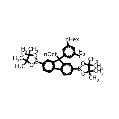 CCCCCCCCC1(c2cc(C)cc(CCCCCC)c2)c2cc(B3OC(C)(C)C(C)(C)O3)ccc2-c2ccc(B3OC(C)(C)C(C)(C)O3)cc21